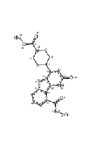 CC(C)NC(=O)c1cccc2nn3c(C4CCN(C(=O)OC(C)(C)C)CC4)cc(=O)[nH]c3c12